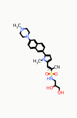 CN1CCN(c2ccc3cc(-c4ccc(/C=C(\C#N)S(=O)(=O)NCC(O)CO)n4C)ccc3c2)CC1